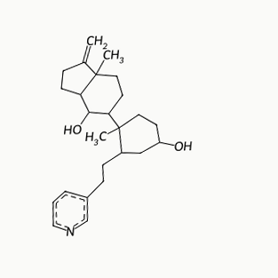 C=C1CCC2C(O)C(C3(C)CCC(O)CC3CCc3cccnc3)CCC12C